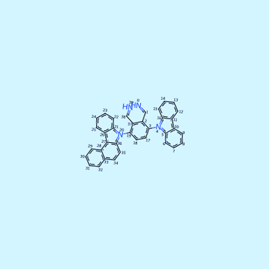 N=Cc1c(-n2c3ccccc3c3ccccc32)ccc(-n2c3ccccc3c3c4ccccc4ccc32)c1C=N